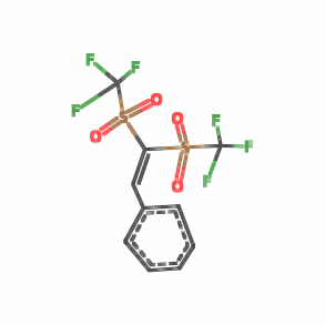 O=S(=O)(C(=Cc1ccccc1)S(=O)(=O)C(F)(F)F)C(F)(F)F